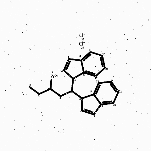 CC[CH]([Zr+2])CC(C1C=Cc2ccccc21)C1C=Cc2ccccc21.[Cl-].[Cl-]